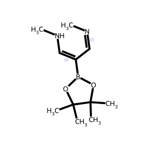 C/N=C\C(=C/NC)B1OC(C)(C)C(C)(C)O1